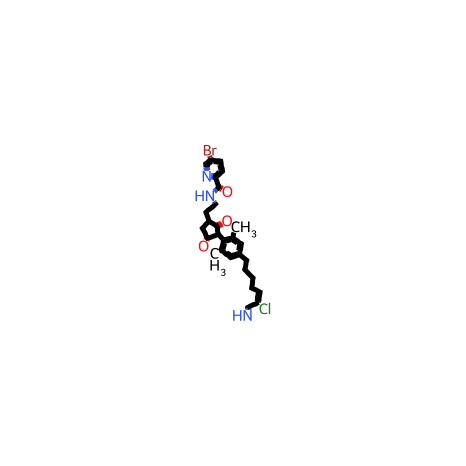 Cc1cc(CCCC/C=C(/Cl)C=N)cc(C)c1C1C(=O)CC(CCNC(=O)c2ccc(Br)cn2)C1=O